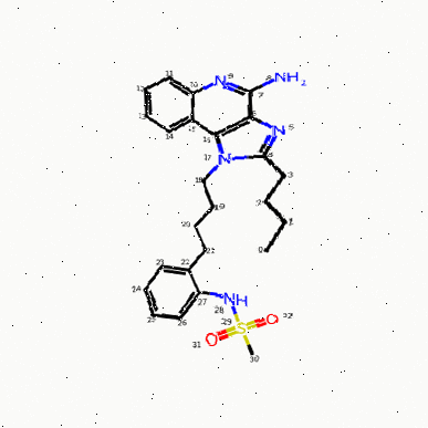 CCCCc1nc2c(N)nc3ccccc3c2n1CCCCc1ccccc1NS(C)(=O)=O